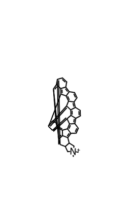 C[N+]1(C)CC2c3c4ccc5c6ccc7c8ccc9c%10ccc%11c(c%12c3c3c4c5c4c6c7c5c8c9c6c%10c%11c%12c7c3c4c5c67)C2C1